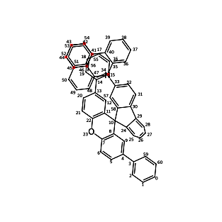 c1ccc(-c2ccc3c(c2)C2(c4cc(-c5ccccc5)ccc4O3)c3ccccc3-c3ccc(N(c4ccccc4-c4ccccc4)c4cccc5ccccc45)cc32)cc1